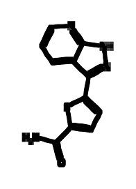 NC(=O)c1ccc(-c2n[nH]c3ncccc23)s1